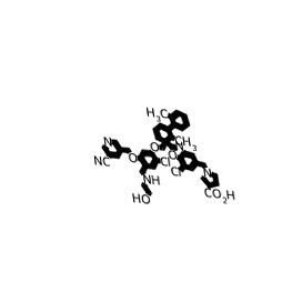 Cc1ccccc1C1=CC=CC(COc2cc(OCc3cncc(C#N)c3)c(CNCCO)cc2Cl)(c2nc3cc(CN4CC[C@@H](C(=O)O)C4)cc(Cl)c3o2)C1C